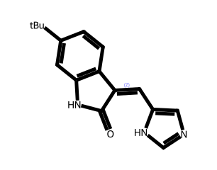 CC(C)(C)c1ccc2c(c1)NC(=O)/C2=C\c1cnc[nH]1